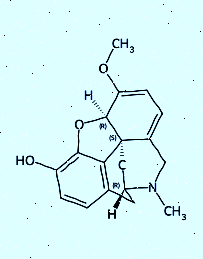 COC1=CC=C2CN(C)[C@@H]3Cc4ccc(O)c5c4[C@@]2(C3)[C@H]1O5